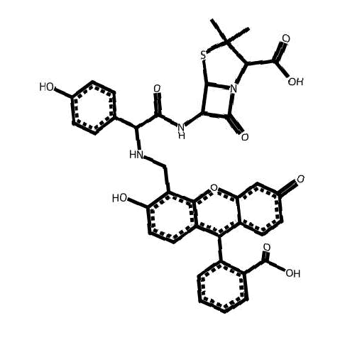 CC1(C)SC2C(NC(=O)C(NCc3c(O)ccc4c(-c5ccccc5C(=O)O)c5ccc(=O)cc-5oc34)c3ccc(O)cc3)C(=O)N2C1C(=O)O